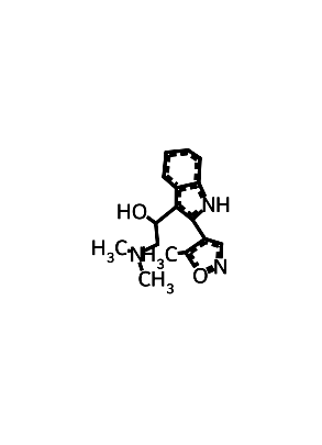 Cc1oncc1-c1[nH]c2ccccc2c1C(O)CN(C)C